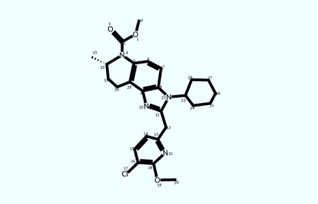 COC(=O)N1c2ccc3c(nc(Cc4ccc(Cl)c(OC)n4)n3C3CCCCC3)c2CC[C@@H]1C